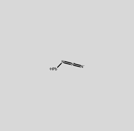 [N-]=[N+]=[N][PbH]